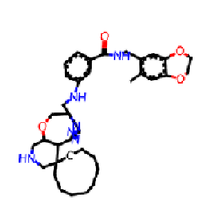 Cc1cc2c(cc1CNC(=O)c1cccc(NCc3nnc4n3CCOC3CNCC5(CCCCCCCCC5)C43)c1)OCCO2